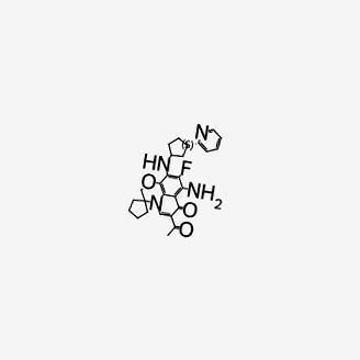 CC(=O)c1cn2c3c(c(NC4CC[C@H](c5ccccn5)C4)c(F)c(N)c3c1=O)OCC21CCCC1